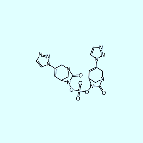 O=C1N2CC(n3ccnn3)=CC(C2)N1OS(=O)(=O)ON1C(=O)N2CC(n3ccnn3)=CC1C2